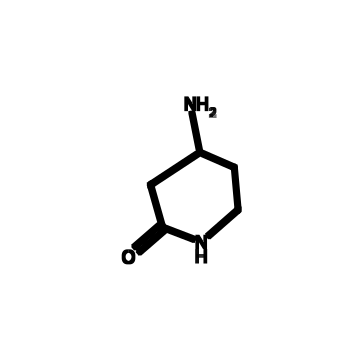 NC1CCNC(=O)C1